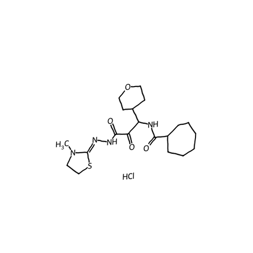 CN1CCSC1=NNC(=O)C(=O)C(NC(=O)C1CCCCCC1)C1CCOCC1.Cl